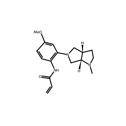 C=CC(=O)Nc1ccc(OC)cc1N1C[C@@H]2CCN(C)[C@@H]2C1